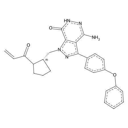 C=CC(=O)C1CCC[C@H]1Cn1nc(-c2ccc(Oc3ccccc3)cc2)c2c(N)n[nH]c(=O)c21